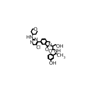 C[C@@H](NC(=O)C(CO)N1Cc2ccc(-c3nc(NC4CCOCC4)ncc3Cl)cc2C1=O)c1cccc(O)c1